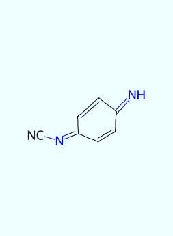 N#CN=C1C=CC(=N)C=C1